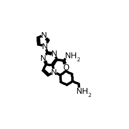 NCC1CCC(n2ccc3nc(-n4ccnc4)nc(C(N)=O)c32)CC1